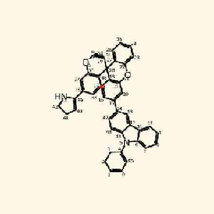 C1=CCCC(n2c3ccccc3c3cc(-c4ccc5c(c4)Oc4ccccc4C54c5ccccc5Oc5cc(C6=CCCN6)ccc54)ccc32)=C1